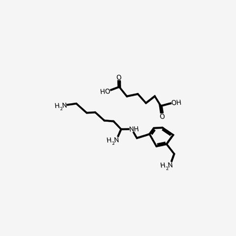 NCCCCCC(N)NCc1cccc(CN)c1.O=C(O)CCCCC(=O)O